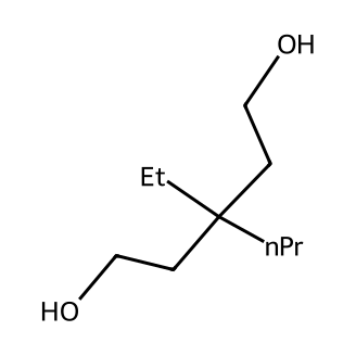 CCCC(CC)(CCO)CCO